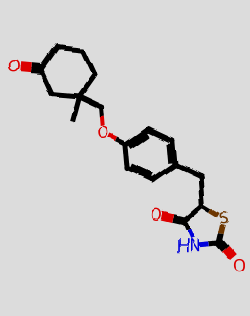 CC1(COc2ccc(CC3SC(=O)NC3=O)cc2)CCCC(=O)C1